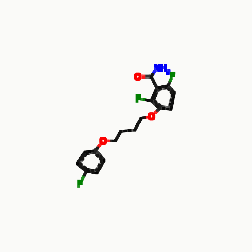 NC(=O)c1c(F)ccc(OCCCCOc2ccc(F)cc2)c1F